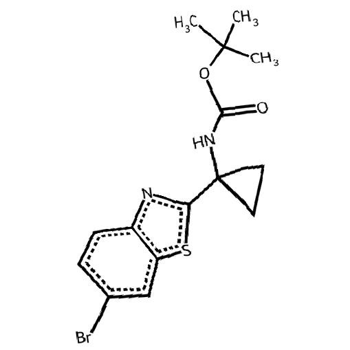 CC(C)(C)OC(=O)NC1(c2nc3ccc(Br)cc3s2)CC1